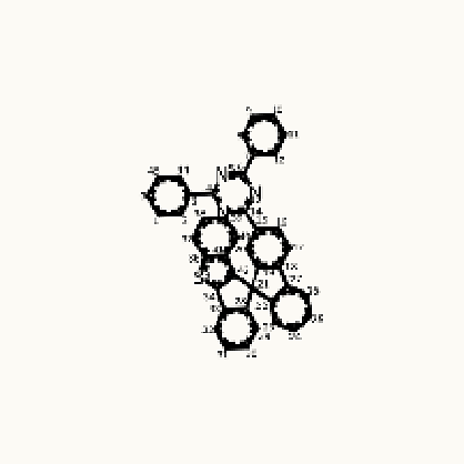 c1ccc(-c2nc(-c3ccccc3)nc(-c3ccc4c(c3)[C@@]3(c5ccccc5-4)c4ccccc4-c4sc5ccccc5c43)n2)cc1